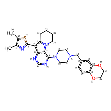 Cc1nc(-c2c3n(c4c(N5CCN(Cc6ccc7c(c6)OCCO7)CC5)ncnc24)CCCC3)sc1C